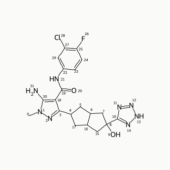 Cn1nc(C2CC3CC(O)(c4nn[nH]n4)CC3C2)c(C(=O)Nc2ccc(F)c(Cl)c2)c1N